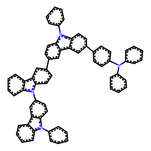 c1ccc(N(c2ccccc2)c2ccc(-c3ccc4c(c3)c3cc(-c5ccc6c(c5)c5ccccc5n6-c5ccc6c(c5)c5ccccc5n6-c5ccccc5)ccc3n4-c3ccccc3)cc2)cc1